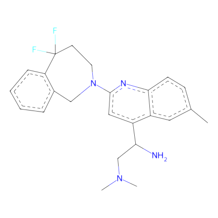 Cc1ccc2nc(N3CCC(F)(F)c4ccccc4C3)cc(C(N)CN(C)C)c2c1